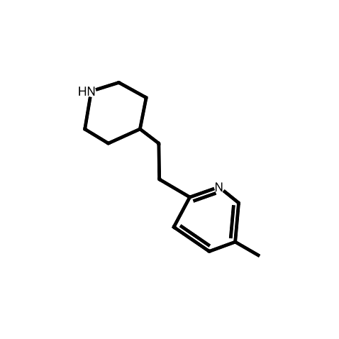 Cc1ccc(CCC2CCNCC2)nc1